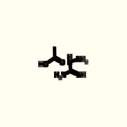 CC(=O)O.N=C(N)NN